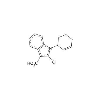 O=C(O)c1c(Cl)n(C2C=CCCC2)c2ccccc12